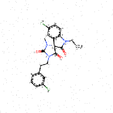 CN1C(=O)N(CCc2cccc(Cl)c2)C(=O)[C@@]12C(=O)N(CC(=O)O)c1ccc(Cl)cc12